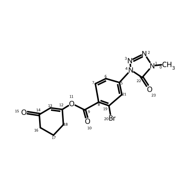 Cn1nnn(-c2ccc(C(=O)OC3=CC(=O)CCC3)c(Br)c2)c1=O